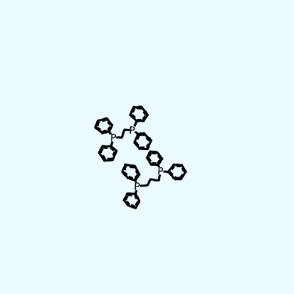 c1ccc(P(CCCP(c2ccccc2)c2ccccc2)c2ccccc2)cc1.c1ccc(P(CCP(c2ccccc2)c2ccccc2)c2ccccc2)cc1